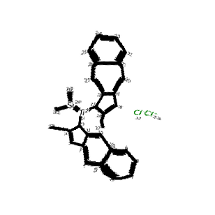 CC1=Cc2cc3ccccc3cc2[CH]1[Ti+2]([CH]1C(C)=Cc2cc3ccccc3cc21)=[Si](C)C.[Cl-].[Cl-]